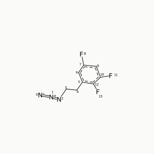 [N-]=[N+]=NCCc1cc(F)cc(F)c1F